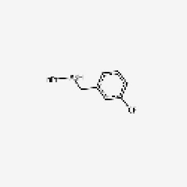 CCC[AsH]Cc1cccc(C(F)(F)F)c1